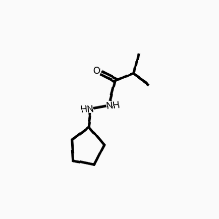 CC(C)C(=O)NNC1CCCC1